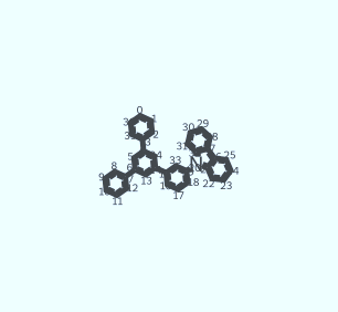 c1ccc(-c2cc(-c3ccccc3)cc(-c3cccc(-n4c5ccccc5c5ccccc54)c3)c2)cc1